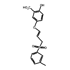 Cc1cccc(S(=O)(=O)CC=COc2ccc(O)c(C(=O)O)c2)c1